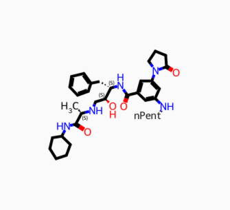 CCCCCNc1cc(C(=O)N[C@@H](Cc2ccccc2)[C@@H](O)CN[C@@H](C)C(=O)NC2CCCCC2)cc(N2CCCC2=O)c1